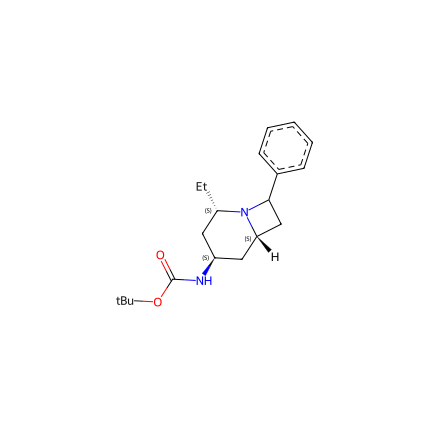 CC[C@H]1C[C@H](NC(=O)OC(C)(C)C)C[C@H]2CC(c3ccccc3)N21